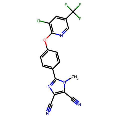 Cn1c(-c2ccc(Oc3ncc(C(F)(F)F)cc3Cl)cc2)nc(C#N)c1C#N